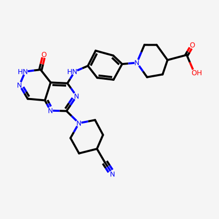 N#CC1CCN(c2nc(Nc3ccc(N4CCC(C(=O)O)CC4)cc3)c3c(=O)[nH]ncc3n2)CC1